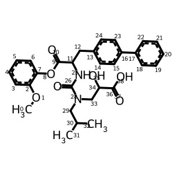 COc1ccccc1OC(=O)C(Cc1ccc(-c2ccccc2)cc1)NC(=O)N(CC(C)C)CC(O)C(=O)O